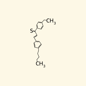 CCCCCc1ccc(C=CC(=S)c2ccc(CC)cc2)cc1